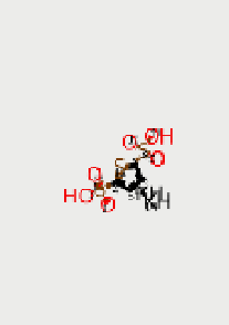 O=S(=O)(O)c1ccc(S(=O)(=O)O)s1.[KH].[KH]